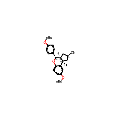 CCCCOc1ccc([C@@H]2Oc3ccc(OCCCC)cc3[C@@H]3C[C@H](C#N)C[C@@H]32)cc1